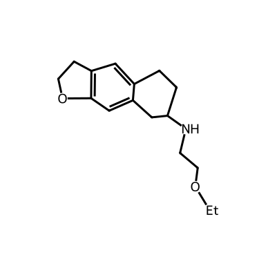 CCOCCNC1CCc2cc3c(cc2C1)OCC3